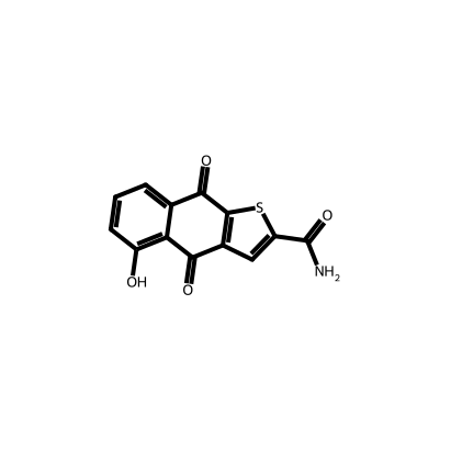 NC(=O)c1cc2c(s1)C(=O)c1cccc(O)c1C2=O